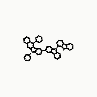 c1ccc(-c2c3ccccc3cc3c2c2cc(-c4ccc5c(c4)c4ccccc4n5-c4cccc5c4sc4ccccc45)ccc2n3-c2ccccc2)cc1